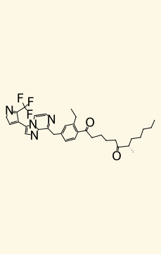 CCCCC[C@H](C)C(=O)CCCCC(=O)c1ccc(Cc2nccn3c(C4=CCN=C4C(F)(F)F)cnc23)cc1CC